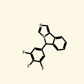 Fc1cc(C2c3ccccc3-c3cncn32)cc(F)c1F